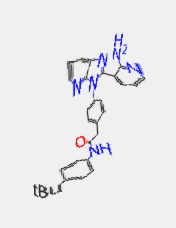 CC(C)(C)c1ccc(NC(=O)Cc2ccc(-n3c(-c4cccnc4N)nc4cccnc43)cc2)cc1